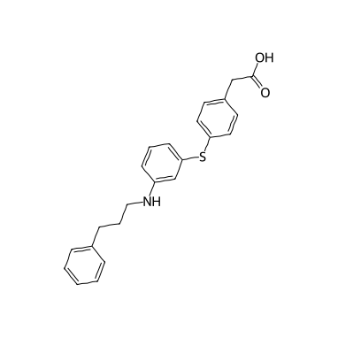 O=C(O)Cc1ccc(Sc2cccc(NCCCc3ccccc3)c2)cc1